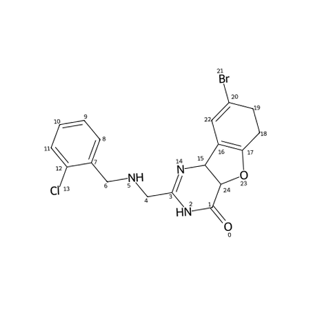 O=C1NC(CNCc2ccccc2Cl)=NC2C3=C(CCC(Br)=C3)OC12